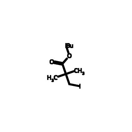 CCC(C)OC(=O)C(C)(C)CI